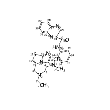 CCN(CCN(C)C)Cc1csc2nc(-c3ccccc3NC(=O)c3cnc4ccccc4n3)cn12